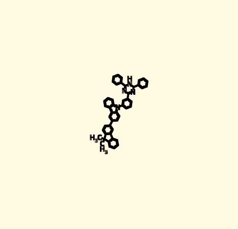 CC1(C)c2ccccc2-c2cc(-c3ccc4c(c3)c3ccccc3n4-c3cccc(C4=NC(c5ccccc5)NC(c5ccccc5)=N4)c3)ccc21